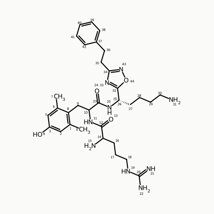 Cc1cc(O)cc(C)c1CC(NC(=O)C(N)CCCNC(=N)N)C(=O)N[C@@H](CCCCN)c1nc(CCc2ccccc2)no1